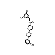 O=C(OCc1cc(Cl)cc(Cl)c1)N1CCC(N2CCC(c3cccc(O)c3)CC2)CC1